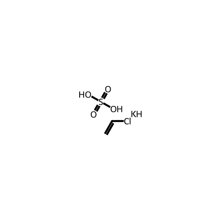 C=CCl.O=S(=O)(O)O.[KH]